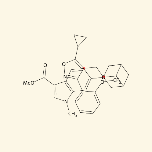 COC(=O)c1cn(C)c2cc(N3CC4CC(C3)C4OCc3c(-c4ccccc4OC(F)(F)F)noc3C3CC3)ccc12